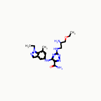 CCOC[C@H](N)CNc1nnc(C(N)=O)c(Nc2cc(C)c3c(cnn3CC)c2)n1